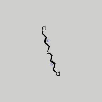 ClC/C=C/CSC/C=C/CCl